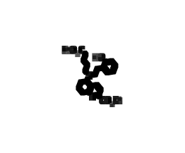 CCOC(=O)CCCCN(CCc1ccccc1O)C1CCCc2nc(C(=O)OCC)ccc21